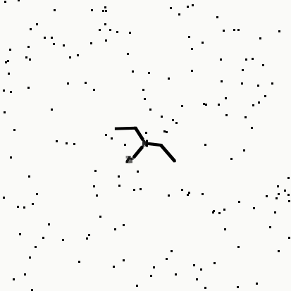 CC[N]([Zr])CC